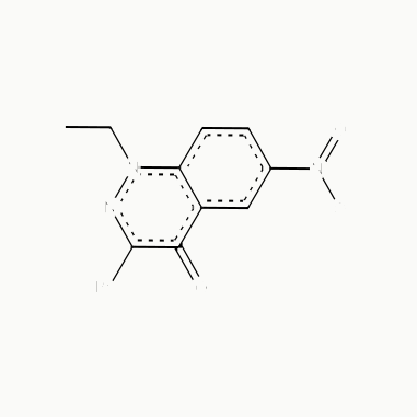 CCn1nc(Br)c(=O)c2cc([N+](=O)[O-])ccc21